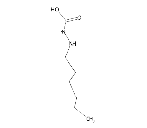 CCCCCCN[N]C(=O)O